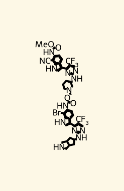 COC(=O)Nc1ccc2c(-c3nc(N[C@H]4CCCN(COC(=O)Nc5ccc6c(-c7nc(NC8CC9CNCC9C8)ncc7C(F)(F)F)c[nH]c6c5Br)C4)ncc3C(F)(F)F)c[nH]c2c1C#N